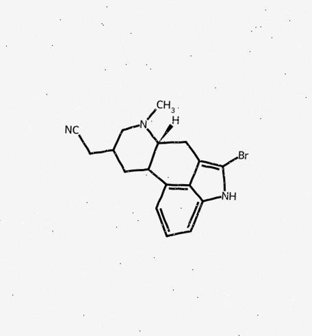 CN1CC(CC#N)CC2c3cccc4[nH]c(Br)c(c34)C[C@H]21